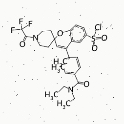 C=C(/C=C\C(=C/C)C(=O)N(CC)CC)C1=CC2(CCN(C(=O)C(F)(F)F)CC2)Oc2ccc(S(=O)(=O)Cl)cc21